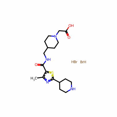 Br.Br.Cc1nc(C2CCNCC2)sc1C(=O)NCC1CCN(CC(=O)O)CC1